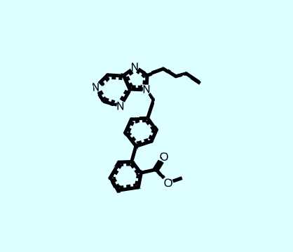 CCCCc1nc2cncnc2n1Cc1ccc(-c2ccccc2C(=O)OC)cc1